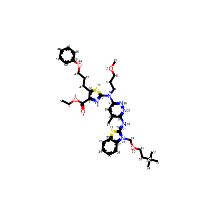 CCOC(=O)c1nc(N(CCCOC)c2cc(C)c(/N=c3\sc4ccccc4n3COCC[Si](C)(C)C)nn2)sc1CCCOc1ccccc1